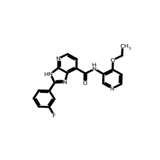 CCOc1ccncc1NC(=O)c1ccnc2[nH]c(-c3cccc(F)c3)nc12